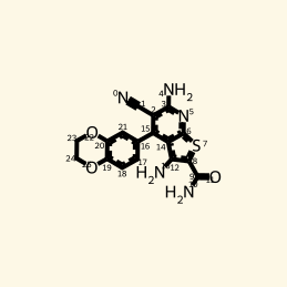 N#Cc1c(N)nc2sc(C(N)=O)c(N)c2c1-c1ccc2c(c1)OCCO2